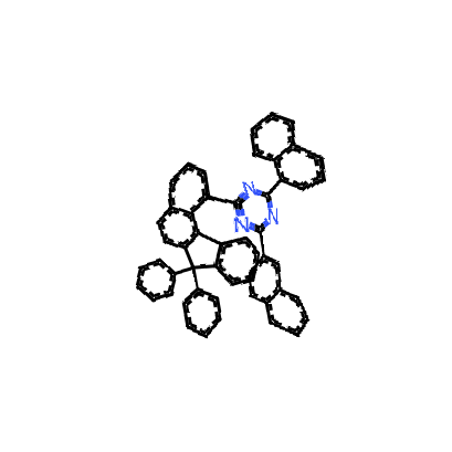 c1ccc(C2(c3ccccc3)c3ccccc3-c3c2ccc2cccc(-c4nc(-c5ccc6ccccc6c5)nc(-c5cccc6ccccc56)n4)c32)cc1